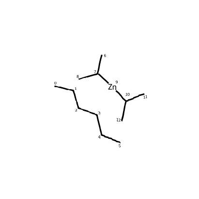 CCCCCC.C[CH](C)[Zn][CH](C)C